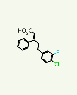 O=C(O)C=C(CCc1ccc(Cl)c(F)c1)c1ccccc1